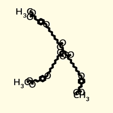 COC(=O)C=Cc1ccc(OCCCCCCCCCC(=O)OCC(COC(=O)CCCCCCCCCOc2ccc(C=CC(=O)OC)cc2)OC(=O)CCCCCCCCCOc2ccc(C=CC(=O)OC)cc2)cc1